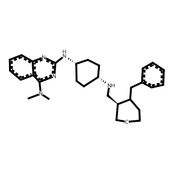 CN(C)c1nc(N[C@H]2CC[C@@H](NC[C@@H]3CCCCC3Cc3ccccc3)CC2)nc2ccccc12